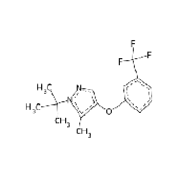 Cc1c(Oc2cccc(C(F)(F)F)c2)cnn1C(C)(C)C